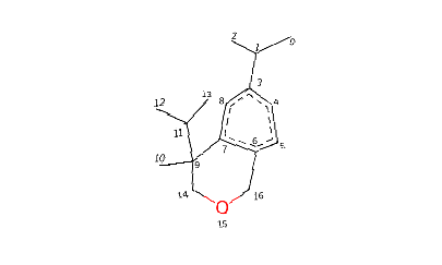 CC(C)c1ccc2c(c1)C(C)(C(C)C)COC2